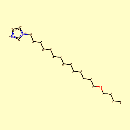 CCCCOCCCCCCCCCCCCCCn1ccnc1